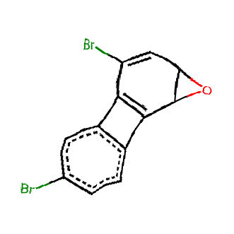 BrC1=CC2OC2C2=C1c1cc(Br)ccc12